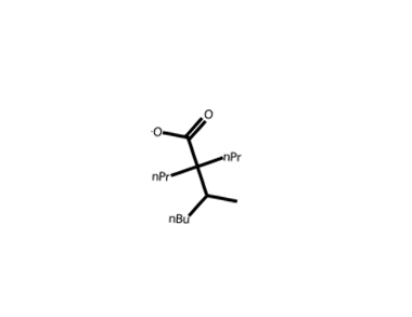 CCCCC(C)C(CCC)(CCC)C([O])=O